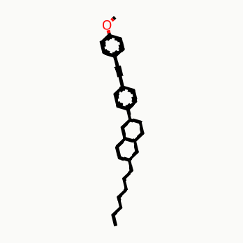 CCCCCCCC1CCC2CC(c3ccc(C#Cc4ccc(OC)cc4)cc3)CCC2C1